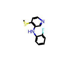 CSc1ccncc1Nc1ccccc1F